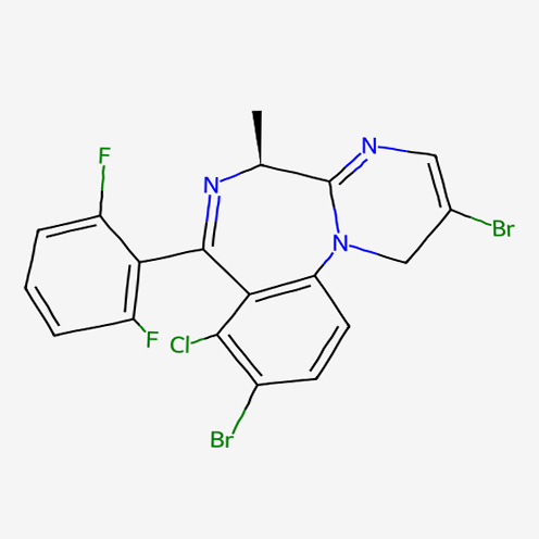 C[C@@H]1N=C(c2c(F)cccc2F)c2c(ccc(Br)c2Cl)N2CC(Br)=CN=C12